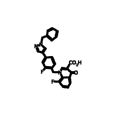 O=C(O)c1cn(Cc2ccc(-c3cnn(Cc4ccccc4)c3)cc2F)c2c(F)cccc2c1=O